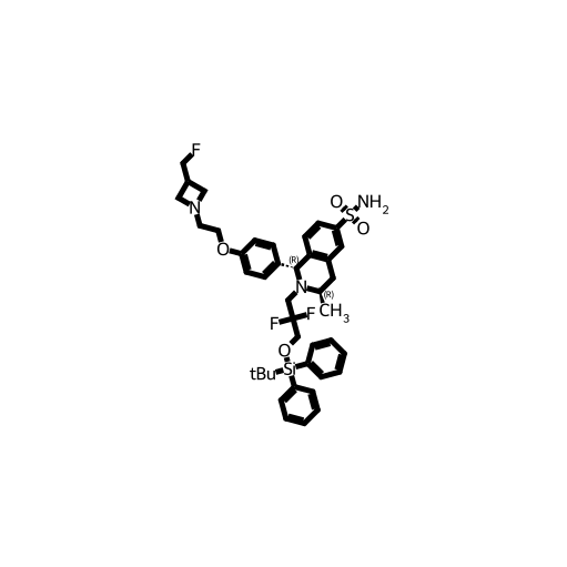 C[C@@H]1Cc2cc(S(N)(=O)=O)ccc2[C@@H](c2ccc(OCCN3CC(CF)C3)cc2)N1CC(F)(F)CO[Si](c1ccccc1)(c1ccccc1)C(C)(C)C